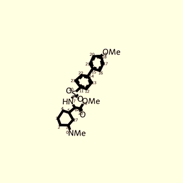 CNC1CCCC(C(NS(=O)(=O)c2ccc(-c3ccc(OC)cc3)cc2)C(=O)OC)C1